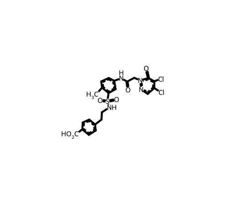 Cc1ccc(NC(=O)Cn2ncc(Cl)c(Cl)c2=O)cc1S(=O)(=O)NCCc1ccc(C(=O)O)cc1